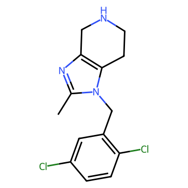 Cc1nc2c(n1Cc1cc(Cl)ccc1Cl)CCNC2